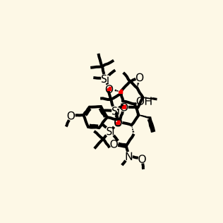 C=C[C@H]([C@@H](O)[C@H](CO[Si](C)(C)C(C)(C)C)[C@H](O[Si](C)(C)C(C)(C)C)C1(C)O[C@@H]1[C@@H](C)COCc1ccc(OC)cc1)[C@H](CC(=O)N(C)OC)O[Si](C)(C)C(C)(C)C